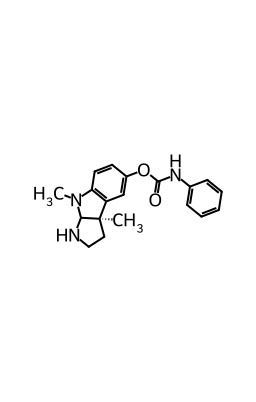 CN1c2ccc(OC(=O)Nc3ccccc3)cc2[C@@]2(C)CCNC12